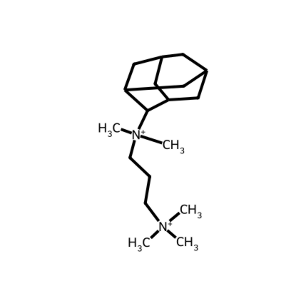 C[N+](C)(C)CCC[N+](C)(C)C1C2CC3CC(C2)CC1C3